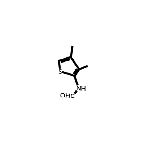 Cc1csc(NC=O)c1C